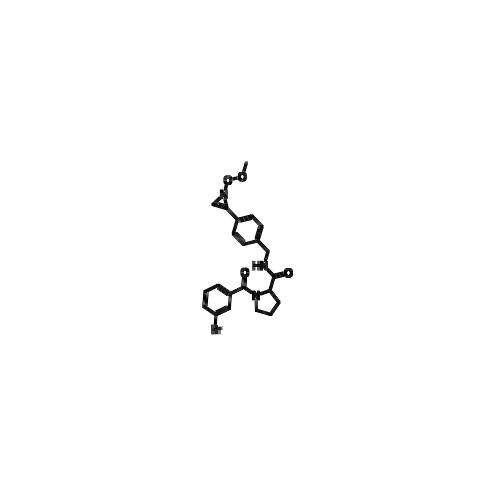 COON1C=C1c1ccc(CNC(=O)C2CCCN2C(=O)c2cccc(Br)c2)cc1